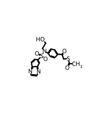 CC(=O)SCC(=O)c1ccc(N(CCO)S(=O)(=O)c2ccc3nccnc3c2)cc1